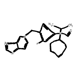 CC(C)[N+](C=O)(c1ccc(Cn2ccc3ncnc-3c2)c(F)c1)C1CCCCC1